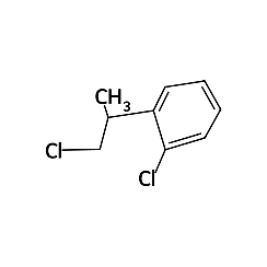 CC(CCl)c1ccccc1Cl